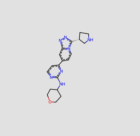 c1cc(-c2ccn3c([C@@H]4CCNC4)nnc3c2)nc(NC2CCOCC2)n1